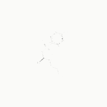 CCONC(=N)NS(=O)(=O)c1ccc(C)cc1